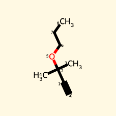 [C]#CC(C)(C)OCCC